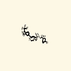 O[C@@H](CNc1cc(-c2ccc3c(C(F)(F)F)noc3c2)ncn1)c1ccc(F)cc1